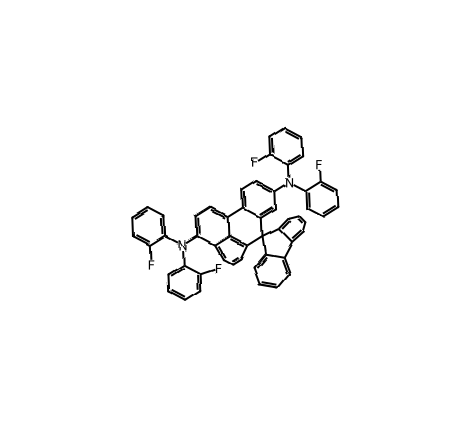 Fc1ccccc1N(c1ccc2c(c1)C1(c3ccccc3-c3ccccc31)c1cccc3c(N(c4ccccc4F)c4ccccc4F)ccc-2c13)c1ccccc1F